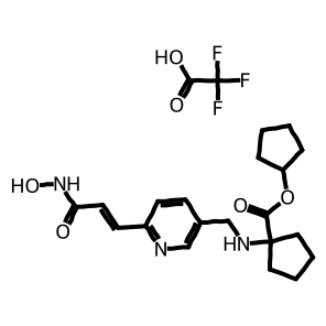 O=C(C=Cc1ccc(CNC2(C(=O)OC3CCCC3)CCCC2)cn1)NO.O=C(O)C(F)(F)F